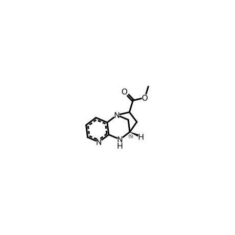 COC(=O)C1C[C@H]2CN1c1cccnc1N2